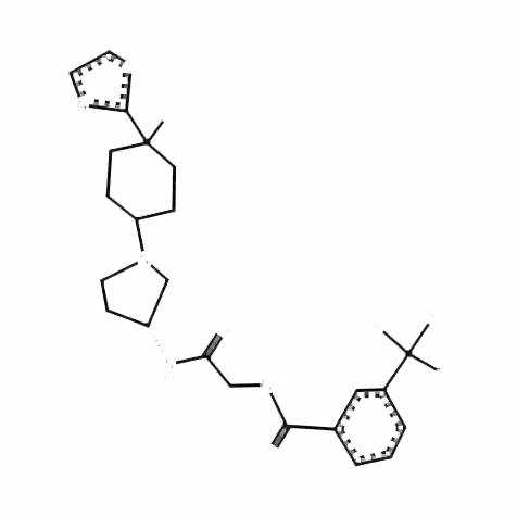 O=C(CNC(=O)c1cccc(C(F)(F)F)c1)N[C@@H]1CCN(C2CCC(F)(c3nccs3)CC2)C1